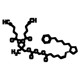 C#CCCCC(=O)OCC(C)(COC(=O)CCCC#C)COC(=O)OCOC(=O)CCC/C=C\C[C@H]1CCC[C@@H]1CCCCCc1ccccc1